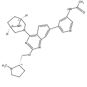 CC(=O)Nc1cncc(-c2ccc3c(N4C[C@H]5CC[C@@H](C4)N5)nc(OC[C@@H]4CCCN4C)nc3c2)c1